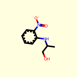 CC(CO)Nc1ccccc1[N+](=O)[O-]